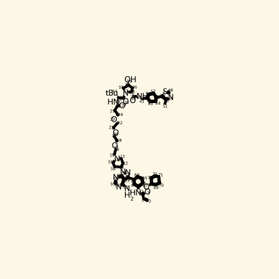 C=CC(=O)Nc1cc(-c2nn(C3CCN(CCOCCOCCOCCC(=O)N[C@@H](C(=O)N4C[C@@H](O)C[C@@H]4C(=O)NCc4ccc(-c5scnc5C)cc4)C(C)(C)C)CC3)c3ncnc(N)c23)ccc1Oc1ccccc1